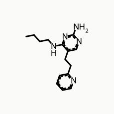 CCCCNc1nc(N)ncc1CCc1ccccn1